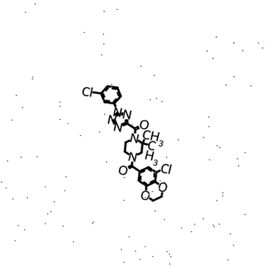 CC1(C)CN(C(=O)c2cc(Cl)c3c(c2)OCCO3)CCN1C(=O)c1nnn(-c2cccc(Cl)c2)n1